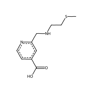 CSCCNCc1cc(C(=O)O)ccn1